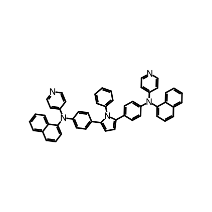 c1ccc(-n2c(-c3ccc(N(c4ccncc4)c4cccc5ccccc45)cc3)ccc2-c2ccc(N(c3ccncc3)c3cccc4ccccc34)cc2)cc1